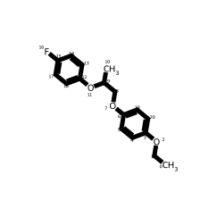 CCOc1ccc(OCC(C)Oc2ccc(F)cc2)cc1